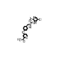 CNC(=O)c1cc(Oc2ccc(CNC(=O)Nc3cc(Cl)cnc3OC)cc2)ccn1